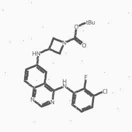 CC(C)(C)OC(=O)N1CC(Nc2ccc3ncnc(Nc4cccc(Cl)c4F)c3c2)C1